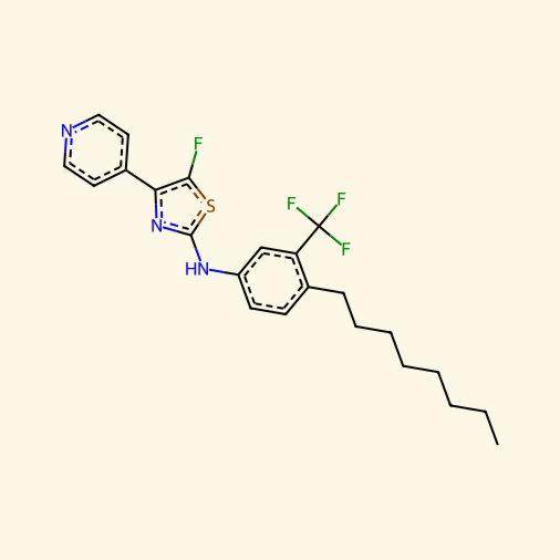 CCCCCCCCc1ccc(Nc2nc(-c3ccncc3)c(F)s2)cc1C(F)(F)F